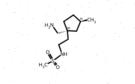 C[C@@H]1CC[C@](CN)(CCNS(C)(=O)=O)C1